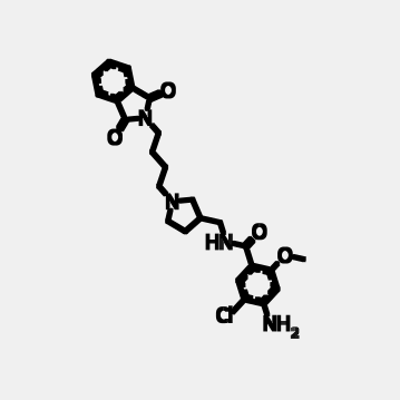 COc1cc(N)c(Cl)cc1C(=O)NCC1CCN(CCCCN2C(=O)c3ccccc3C2=O)C1